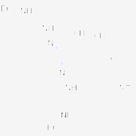 CCNC(=S)N/N=C(C)/C(=N/NC(=S)NCC)c1cc(C)oc1C